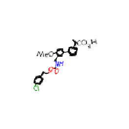 COc1ccc(-c2cccc(C(C)C(=O)O)c2)cc1CNC(=O)OCCc1ccc(Cl)cc1